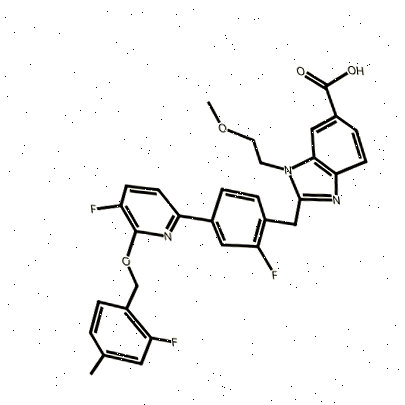 COCCn1c(Cc2ccc(-c3ccc(F)c(OCc4ccc(C)cc4F)n3)cc2F)nc2ccc(C(=O)O)cc21